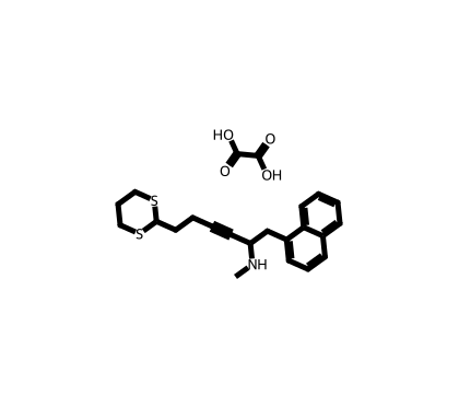 CNC(C#CCCC1SCCCS1)Cc1cccc2ccccc12.O=C(O)C(=O)O